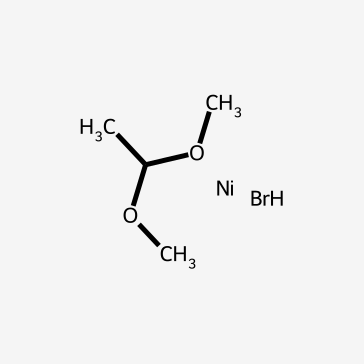 Br.COC(C)OC.[Ni]